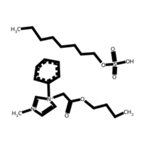 CCCCCCCCOS(=O)(=O)O.CCCCOC(=O)C[N+]1(c2ccccc2)C=C[N+](C)=C1